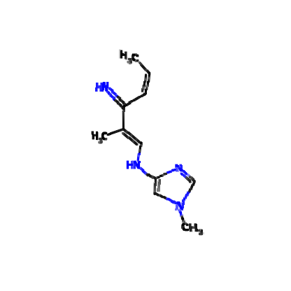 C/C=C\C(=N)/C(C)=C/Nc1cn(C)cn1